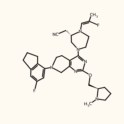 CC(F)=CN1CCN(c2nc(OC[C@H]3CCCN3C)nc3c2CCN(c2cc(F)cc4c2CCC4)C3)C[C@@H]1CC#N